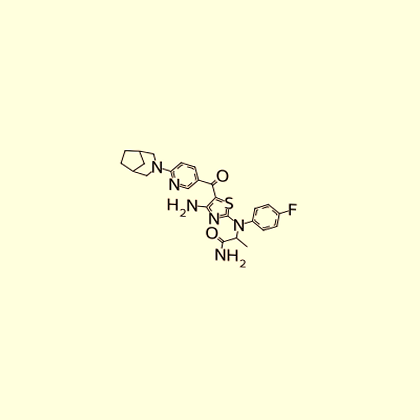 CC(C(N)=O)N(c1ccc(F)cc1)c1nc(N)c(C(=O)c2ccc(N3CC4CCC(C4)C3)nc2)s1